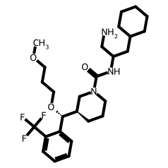 COCCCO[C@@H](c1ccccc1C(F)(F)F)[C@@H]1CCCN(C(=O)NC(CN)CC2CCCCC2)C1